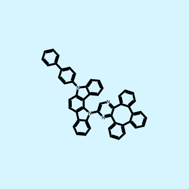 c1ccc(-c2ccc(-n3c4ccccc4c4c3ccc3c5ccccc5n(-c5cnc6c(n5)-c5ccccc5-c5ccccc5-c5ccccc5-6)c34)cc2)cc1